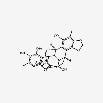 COc1c(C)cc2c(c1O)C1C3[C@@H]4SCC(NC(C)=O)C(=O)OC[C@@H](c5c6c(c(C)c(O)c54)OCO6)N3[C@@H](O)C(C2)N1C